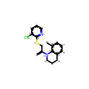 C=C(CSc1ncccc1Cl)N1CCCc2cccc(C)c21